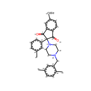 COc1ccc2c(c1)C(=O)C(c1cccc(C)c1)(N1CCN(Cc3cc(C)ccc3C)CC1)C2=O